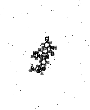 CN(C)CCN(c1ccc(N/C(=C2\C(=O)Nc3cc(Cl)ccc32)c2ccc3nccn3c2)cc1)S(C)(=O)=O